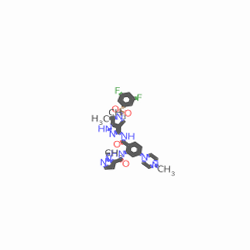 CN1CCN(c2ccc(C(=O)Nc3n[nH]c4c3CN(S(=O)(=O)c3cc(F)cc(F)c3)C4(C)C)c(NC(=O)c3ccnn3C)c2)CC1